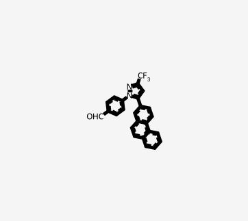 O=Cc1ccc(-n2nc(C(F)(F)F)cc2-c2ccc3c(ccc4ccccc43)c2)cc1